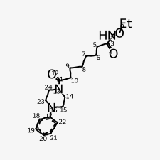 CCONC(=O)CCCCCCC(=O)N1CCN(c2ccccc2)CC1